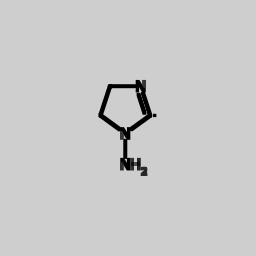 NN1[C]=NCC1